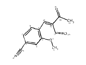 COc1cc(C#N)ccc1/C=C(\C=O)C(C)=O